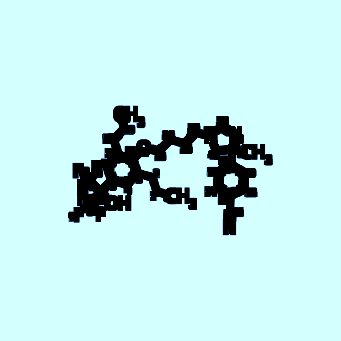 CCCc1cc(C(O)(C(F)(F)F)C(F)(F)F)cc(CCC)c1OCCCCN1C=NC(C)(c2ccc(C#N)cc2)C1